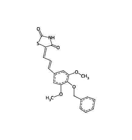 COc1cc(C=CC=C2SC(=O)NC2=O)cc(OC)c1OCc1ccccc1